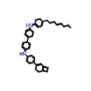 CCCCCCCCC1=CC=C(NC2=CC=C(c3ccc(Nc4ccc(C5=CC6=C(CC5)CC6)cc4)cc3)CC2)CC1